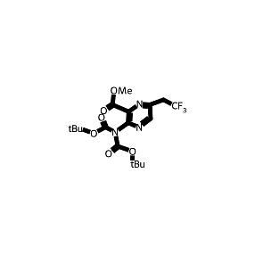 COC(=O)c1nc(CC(F)(F)F)cnc1N(C(=O)OC(C)(C)C)C(=O)OC(C)(C)C